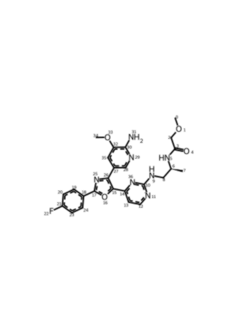 COCC(=O)N[C@@H](C)CNc1nccc(-c2oc(-c3ccc(F)cc3)nc2-c2cnc(N)c(OC)c2)n1